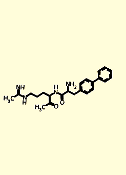 CC(=N)NCCCC(NC(=O)C(N)Cc1ccc(-c2ccccc2)cc1)C(C)=O